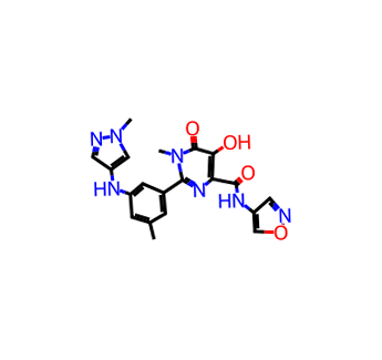 Cc1cc(Nc2cnn(C)c2)cc(-c2nc(C(=O)Nc3cnoc3)c(O)c(=O)n2C)c1